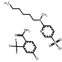 CCCCCCN(C)c1ccc(S(=O)(=O)O)cn1.NC(=O)c1ccc(Cl)cc1C(F)(F)F